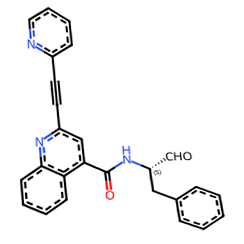 O=C[C@H](Cc1ccccc1)NC(=O)c1cc(C#Cc2ccccn2)nc2ccccc12